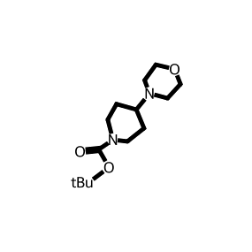 CC(C)(C)OC(=O)N1CCC(N2CCOCC2)CC1